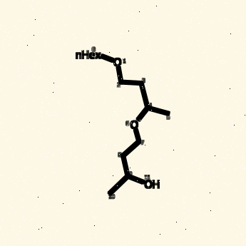 CCCCCCOCCC(C)OCCC(C)O